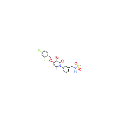 Cc1cc(OCc2ccc(F)cc2F)c(Br)c(=O)n1-c1cccc(CNS(C)(=O)=O)c1